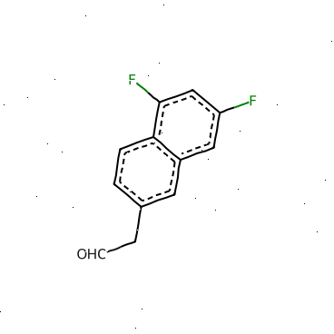 O=CCc1ccc2c(F)cc(F)cc2c1